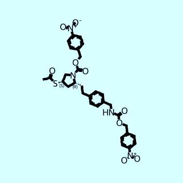 CC(=O)S[C@H]1C[C@@H](CCc2ccc(CNC(=O)OCc3ccc([N+](=O)[O-])cc3)cc2)N(C(=O)OCc2ccc([N+](=O)[O-])cc2)C1